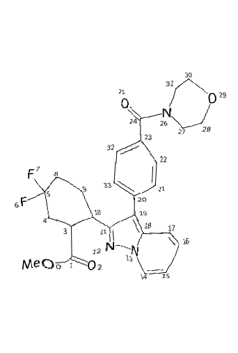 COC(=O)C1CC(F)(F)CCC1c1nn2ccccc2c1-c1ccc(C(=O)N2CCOCC2)cc1